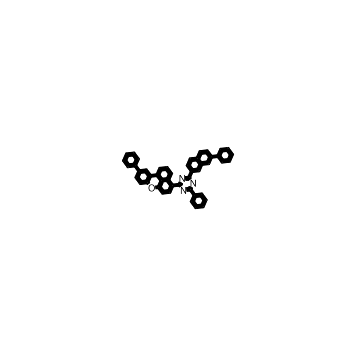 c1ccc(-c2ccc3c(c2)-c2cccc4c(-c5nc(-c6ccccc6)nc(-c6ccc7ccc(-c8ccccc8)cc7c6)n5)ccc(c24)O3)cc1